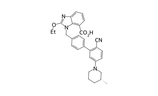 CCOc1nc2cccc(C(=O)O)c2n1Cc1ccc(-c2cc(N3CCC[C@@H](C)C3)ccc2C#N)cc1